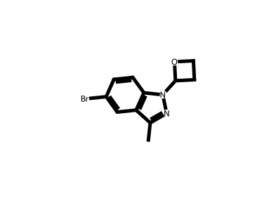 Cc1nn(C2CCO2)c2ccc(Br)cc12